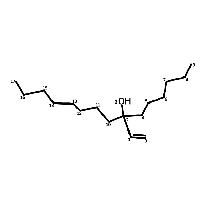 C=CC(O)(CCCCCC)CCCCCCCC